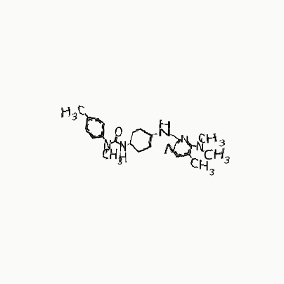 Cc1ccc(N(C)C(=O)N[C@H]2CC[C@@H](Nc3ncc(C)c(N(C)C)n3)CC2)cc1